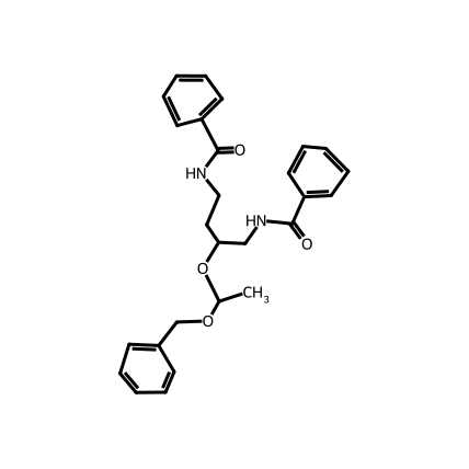 CC(OCc1ccccc1)OC(CCNC(=O)c1ccccc1)CNC(=O)c1ccccc1